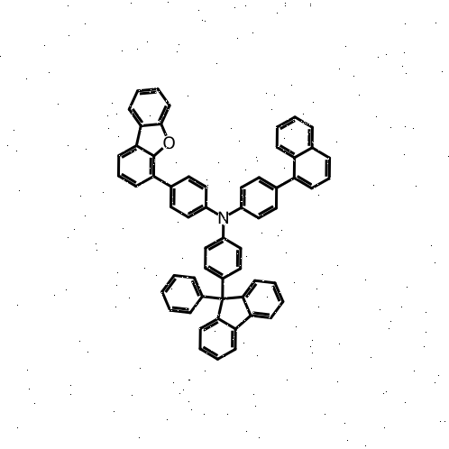 c1ccc(C2(c3ccc(N(c4ccc(-c5cccc6ccccc56)cc4)c4ccc(-c5cccc6c5oc5ccccc56)cc4)cc3)c3ccccc3-c3ccccc32)cc1